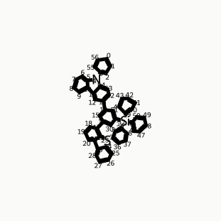 c1ccc(-n2c3ccccc3c3cc(-c4cc(-c5cccc6c5sc5ccccc56)cc([Si](c5ccccc5)(c5ccccc5)c5ccccc5)c4)ccc32)cc1